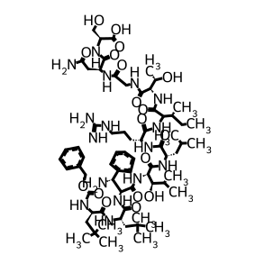 CC[C@H](C)C(NC(=O)[C@@H](CCCNC(=N)N)NC(=O)[C@H](CC(C)C)NC(=O)[C@@H](NC(=O)[C@@H](NC(=O)[C@H](CC(C)(C)C)NC(=O)[C@@H](CC(C)(C)C)NC(=O)OCc1ccccc1)[C@H](N)c1ccccc1)[C@H](O)C(C)C)C(=O)N[C@H](C(=O)NCC(=O)N[C@@H](CC(N)=O)C(=O)N[C@@H](CO)C(=O)O)[C@H](C)O